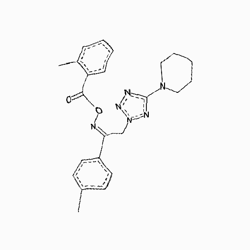 Cc1ccc(/C(Cn2nnc(N3CCCCC3)n2)=N/OC(=O)c2ccccc2C)cc1